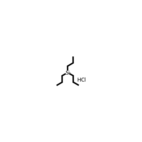 CCC[Si](CCC)CCC.Cl